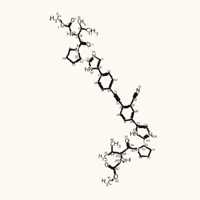 COC(=O)N[C@H](C(=O)N1CCC[C@H]1c1ncc(-c2ccc(C#Cc3ccc(-c4cnc([C@@H]5CCCN5C(=O)[C@@H](NC(=O)OC)C(C)C)[nH]4)cc3C#N)cc2)[nH]1)C(C)C